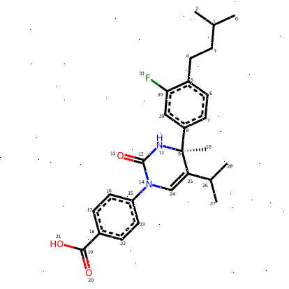 CC(C)CCc1ccc([C@]2(C)NC(=O)N(c3ccc(C(=O)O)cc3)C=C2C(C)C)cc1F